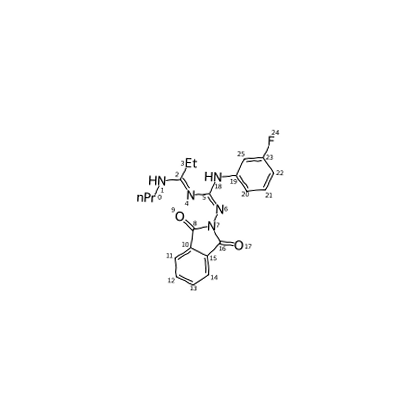 CCCN/C(CC)=N/C(=N\N1C(=O)c2ccccc2C1=O)Nc1cccc(F)c1